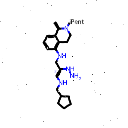 C=C1c2cccc(NC/C(=C/NCC3CCCC3)NN)c2CCN1C(C)CCC